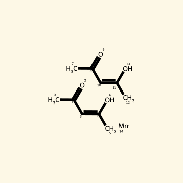 CC(=O)C=C(C)O.CC(=O)C=C(C)O.[Mn]